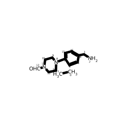 CC.NCc1ccc(N2CCN(C=O)CC2)cc1